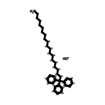 Cl.PCCCCCCCCCCCCCCCCCCCC(c1ccccc1)(c1ccccc1)c1ccccc1